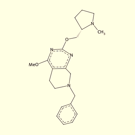 COc1nc(OC[C@@H]2CCCN2C)nc2c1CCN(Cc1ccccc1)C2